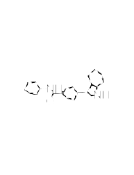 O=C(Nc1ccccc1)c1ccc(-c2c[nH]c3ccccc23)cc1